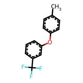 Cc1ccc(Oc2cccc(C(F)(F)F)c2)cc1